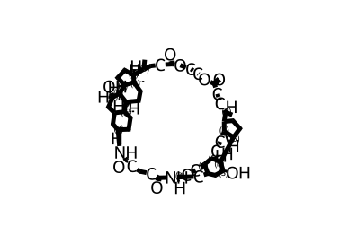 C[C@H]1CCC(=O)OCCOC(=O)CC[C@H](C)[C@H]2CC[C@H]3[C@@H]4[C@@H](O)CC5C[C@@H](CC[C@]5(C)[C@H]4CC[C@]23C)NC(=O)CCCC(=O)N[C@@H]2CC[C@@]3(C)C(C2)C[C@H](O)[C@@H]2[C@@H]3CC[C@]3(C)C1CC[C@@H]23